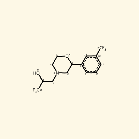 OC(CN1CCOC(c2cccc(C(F)(F)F)c2)C1)C(F)(F)F